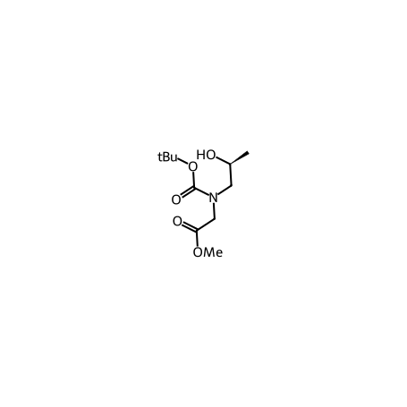 COC(=O)CN(C[C@H](C)O)C(=O)OC(C)(C)C